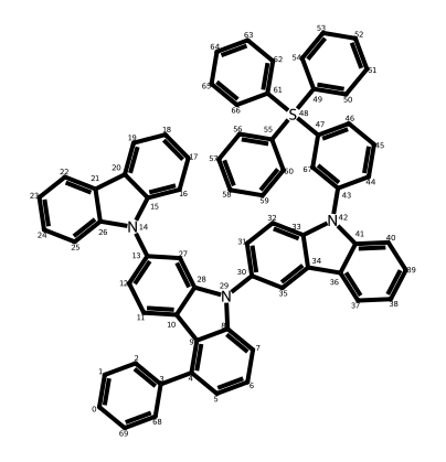 c1ccc(-c2cccc3c2c2ccc(-n4c5ccccc5c5ccccc54)cc2n3-c2ccc3c(c2)c2ccccc2n3-c2cccc(S(c3ccccc3)(c3ccccc3)c3ccccc3)c2)cc1